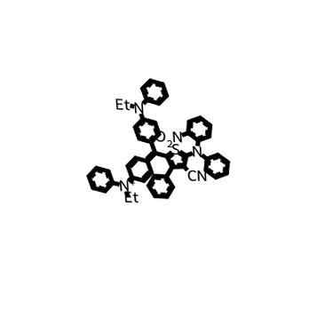 CCN(c1ccccc1)c1ccc(C(=C2C=CC(=[N+](CC)c3ccccc3)C=C2)c2sc(N(c3ccccc3)c3ccccc3[N+](=O)[O-])c(C#N)c2-c2ccccc2)cc1